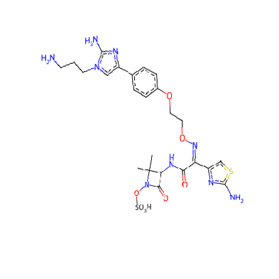 CC1(C)C(NC(=O)/C(=N\OCCOc2ccc(-c3cn(CCCN)c(N)n3)cc2)c2csc(N)n2)C(=O)N1OS(=O)(=O)O